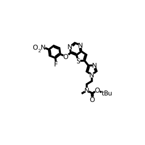 CN(CCn1cnc(-c2cc3ncnc(Oc4ccc([N+](=O)[O-])cc4F)c3s2)c1)C(=O)OC(C)(C)C